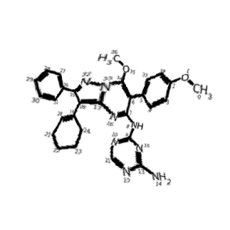 COc1ccc(-c2c(Nc3ncnc(N)n3)nc3c(C4=CCCCC4)c(-c4ccccc4)nn3c2OC)cc1